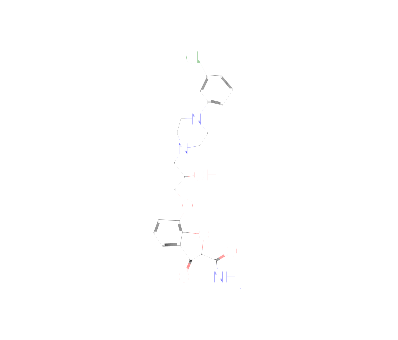 NC(=O)C1Oc2c(OCC(O)CN3CCN(c4cccc(Cl)c4)CC3)cccc2C1=O